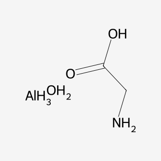 NCC(=O)O.O.[AlH3]